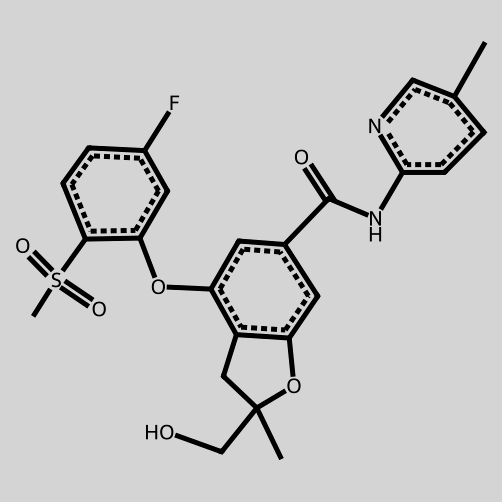 Cc1ccc(NC(=O)c2cc(Oc3cc(F)ccc3S(C)(=O)=O)c3c(c2)OC(C)(CO)C3)nc1